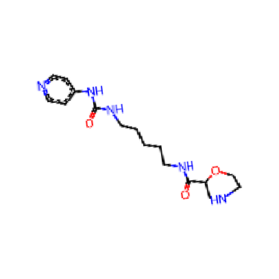 O=C(NCCCCCNC(=O)C1CNCCO1)Nc1ccncc1